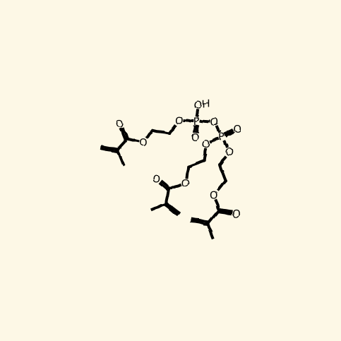 C=C(C)C(=O)OCCOP(=O)(O)OP(=O)(OCCOC(=O)C(=C)C)OCCOC(=O)C(=C)C